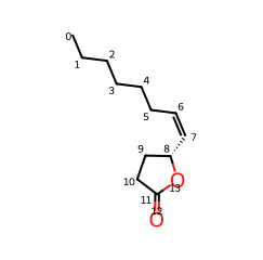 CCCCCC/C=C\[C@H]1CCC(=O)O1